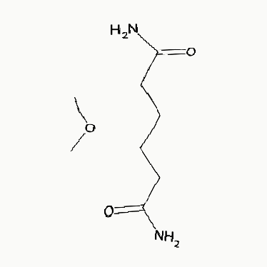 COC.NC(=O)CCCCC(N)=O